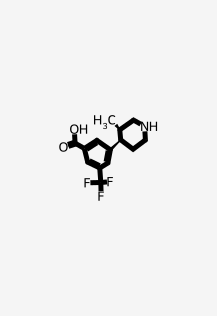 C[C@H]1CNCC[C@H]1c1cc(C(=O)O)cc(C(F)(F)F)c1